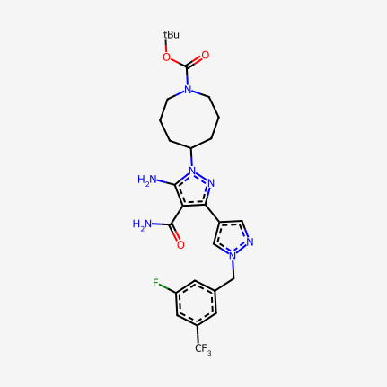 CC(C)(C)OC(=O)N1CCCC(n2nc(-c3cnn(Cc4cc(F)cc(C(F)(F)F)c4)c3)c(C(N)=O)c2N)CCC1